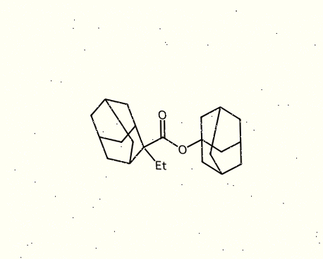 CCC1(C(=O)OC23CC4CC(CC(C4)C2)C3)C2CC3CC(C2)CC1C3